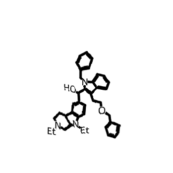 CCN1CCC2c3cc(C(O)c4c(CCOCc5ccccc5)c5ccccc5n4Cc4ccccc4)ccc3N(CC)C2C1